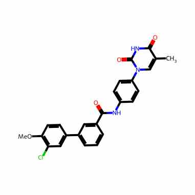 COc1ccc(-c2cccc(C(=O)Nc3ccc(-n4cc(C)c(=O)[nH]c4=O)cc3)c2)cc1Cl